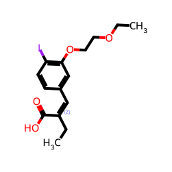 CCOCCOc1cc(/C=C(/CC)C(=O)O)ccc1I